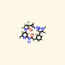 CN/C(C)=C(\C=N)c1cccc(CC(=O)Nc2cc(N3CC[C@@](C)(C4CC4)C3=O)cc(C)n2)c1